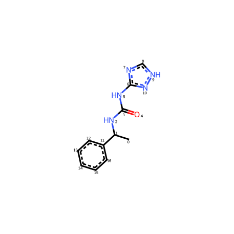 CC(NC(=O)Nc1nc[nH]n1)c1ccccc1